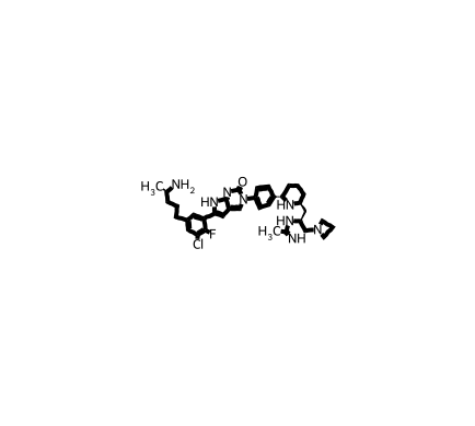 CC(=N)N[C@@H](C[C@@H]1CCC[C@@H](c2ccc(-n3cc4cc(-c5cc(CCC[C@H](C)N)cc(Cl)c5F)[nH]c4nc3=O)cc2)N1)CN1CCC1